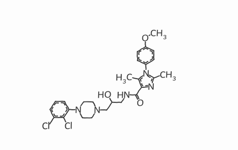 COc1ccc(-n2c(C)nc(C(=O)NCC(O)CN3CCN(c4cccc(Cl)c4Cl)CC3)c2C)cc1